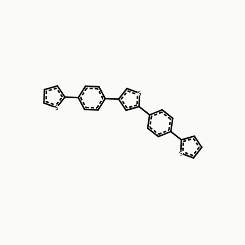 c1csc(-c2ccc(-c3csc(-c4ccc(-c5cccs5)cc4)c3)cc2)c1